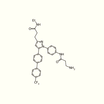 CCNC(=O)CCc1cc(-c2ccc(-c3ccc(C(F)(F)F)cc3)cc2)n(-c2ccc(NC(=O)CCN)cc2)n1